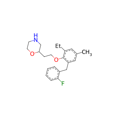 CCc1cc(C)cc(Cc2ccccc2F)c1OCCC1CNCCO1